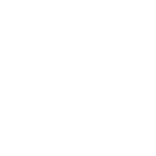 CCCCCC1CCC(c2ccc3c(c2F)C(F)(F)C(F)(F)c2c-3ccc(CCC)c2F)CO1